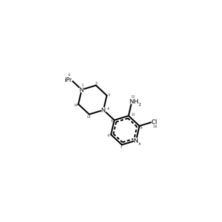 CC(C)N1CCN(c2ccnc(Cl)c2N)CC1